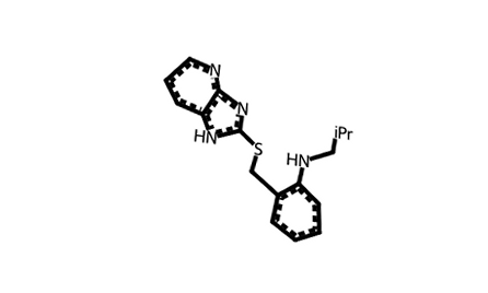 CC(C)CNc1ccccc1CSc1nc2ncccc2[nH]1